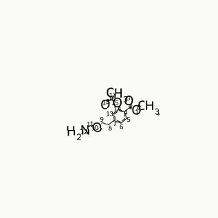 COC(=O)c1ccc(CCOCN)cc1OC(C)=O